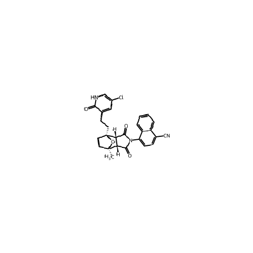 C[C@]12CC[C@](CCc3cc(Cl)c[nH]c3=O)(O1)[C@@H]1C(=O)N(c3ccc(C#N)c4ccccc34)C(=O)[C@@H]12